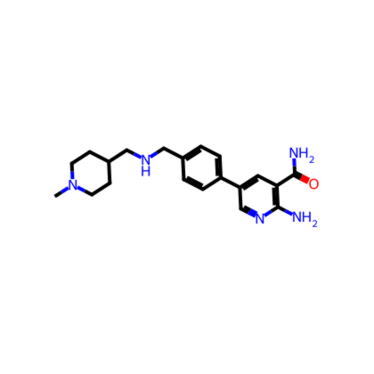 CN1CCC(CNCc2ccc(-c3cnc(N)c(C(N)=O)c3)cc2)CC1